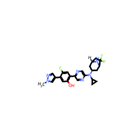 Cn1cc(-c2cc(O)c(-c3cnc(N(C4CC4)[C@@H]4CC5N[C@H](C4)CC5(F)F)cn3)cc2F)cn1